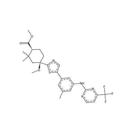 COC(=O)[C@H]1CC[C@](OC)(c2ncc(-c3cc(C)cc(Nc4nccc(C(F)(F)F)n4)c3)s2)CC1(C)C